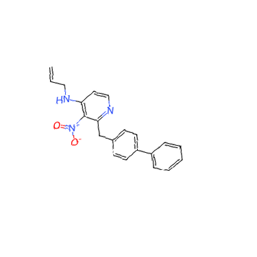 C=CCNc1ccnc(Cc2ccc(-c3ccccc3)cc2)c1[N+](=O)[O-]